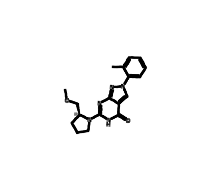 COC[C@@H]1CCCN1c1nc2nn(-c3ccccc3C)cc2c(=O)[nH]1